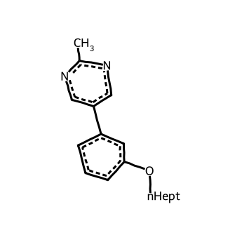 CCCCCCCOc1cccc(-c2cnc(C)nc2)c1